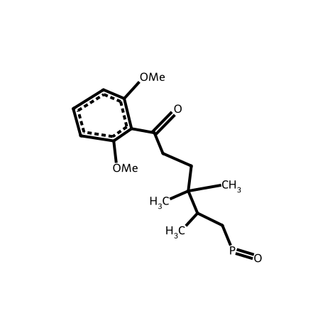 COc1cccc(OC)c1C(=O)CCC(C)(C)C(C)CP=O